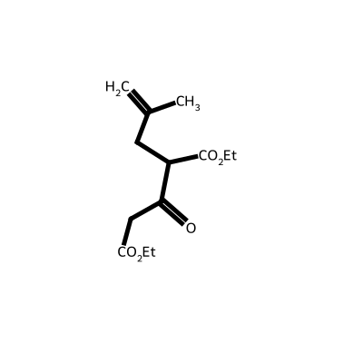 C=C(C)CC(C(=O)CC(=O)OCC)C(=O)OCC